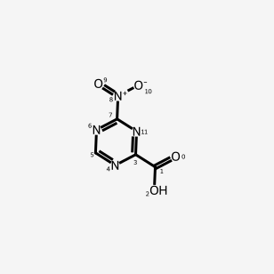 O=C(O)c1ncnc([N+](=O)[O-])n1